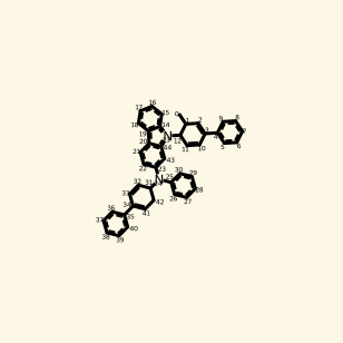 CC1C=C(c2ccccc2)C=CC1n1c2ccccc2c2ccc(N(c3ccccc3)C3C=CC(c4ccccc4)=CC3)cc21